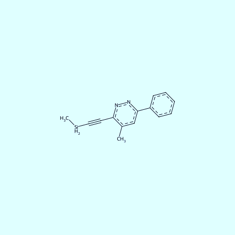 C[SiH2]C#Cc1nnc(-c2ccccc2)cc1C